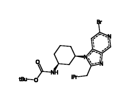 CC(C)Cc1nc2cnc(Br)cc2n1[C@@H]1CCC[C@H](NC(=O)OC(C)(C)C)C1